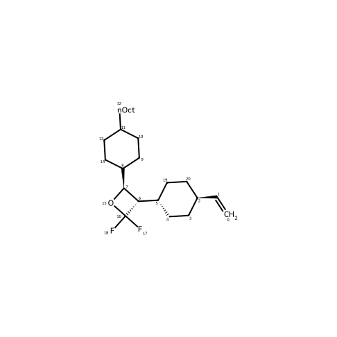 C=C[C@H]1CC[C@H]([C@H]2[C@H](C3CCC(CCCCCCCC)CC3)OC2(F)F)CC1